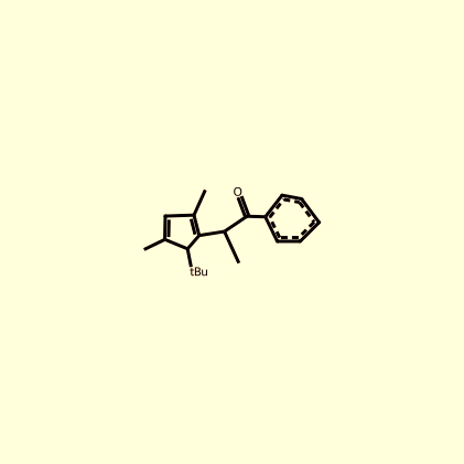 CC1=CC(C)=C(C(C)C(=O)c2ccccc2)C1C(C)(C)C